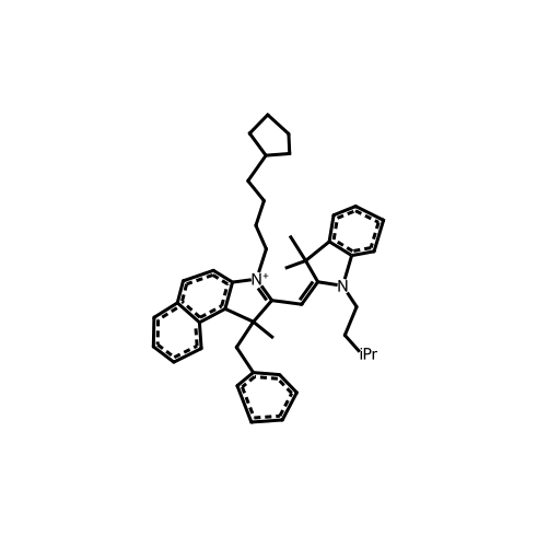 CC(C)CCN1/C(=C/C2=[N+](CCCCC3CCCC3)c3ccc4ccccc4c3C2(C)Cc2ccccc2)C(C)(C)c2ccccc21